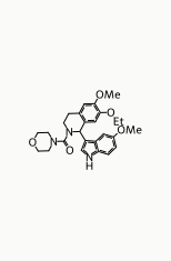 CCOc1cc2c(cc1OC)CCN(C(=O)N1CCOCC1)C2c1c[nH]c2ccc(OC)cc12